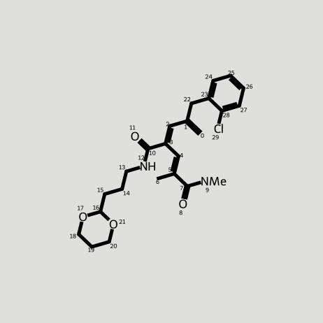 C=C(/C=C(\C=C(/C)C(=O)NC)C(=O)NCCCC1OCCCO1)Cc1ccccc1Cl